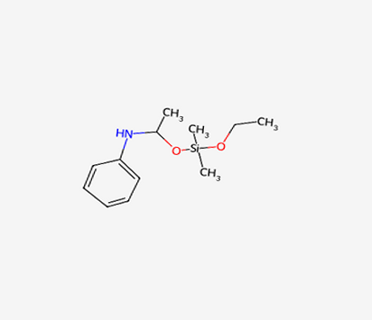 CCO[Si](C)(C)OC(C)Nc1ccccc1